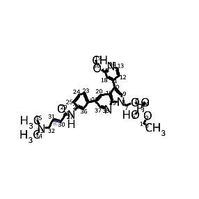 CCOP(=O)(O)OCn1cc(-c2ccnc(OC)c2)c2cc(-c3cccc(NC(=O)/C=C/CN(C)C)c3)cnc21